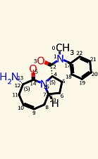 CN(C(=O)[C@@H]1CC[C@@H]2CC=CC[C@H](N)C(=O)N21)c1ccccc1